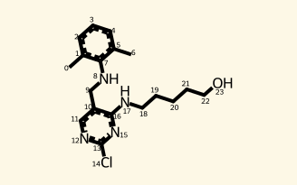 Cc1cccc(C)c1NCc1cnc(Cl)nc1NCCCCCO